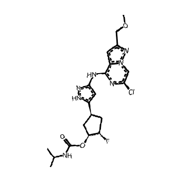 COCc1cc2c(Nc3cc([C@H]4C[C@@H](F)[C@@H](OC(=O)NC(C)C)C4)[nH]n3)nc(Cl)cn2n1